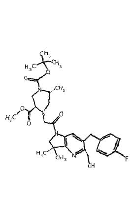 COC(=O)[C@H]1CN(C(=O)OC(C)(C)C)[C@H](C)CN1CC(=O)N1CC(C)(C)c2nc(CO)c(Cc3ccc(F)cc3)cc21